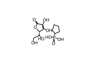 O=C1O[C@H](C(O)CO)C(O)=C1O.O=P(O)(O)C1CCCC1